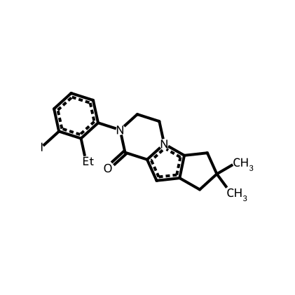 CCc1c(I)cccc1N1CCn2c(cc3c2CC(C)(C)C3)C1=O